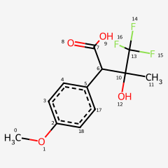 COc1ccc(C(C(=O)O)C(C)(O)C(F)(F)F)cc1